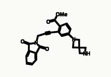 COC(=O)c1ccc(N2CC3(CNC3)C2)cc1C#CCN1C(=O)c2ccccc2C1=O